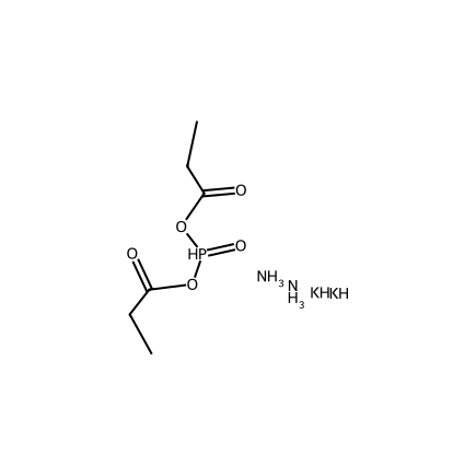 CCC(=O)O[PH](=O)OC(=O)CC.N.N.[KH].[KH]